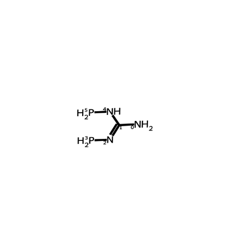 NC(=NP)NP